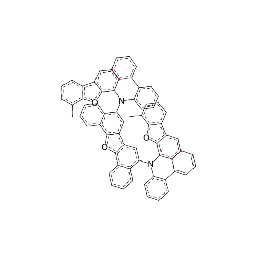 Cc1cccc2c1oc1c(N(c3ccccc3C3=CC=CCC3)c3cc4c5cc(N(c6ccccc6-c6ccccc6)c6cccc7c6oc6c(C)cccc67)c6ccccc6c5oc4c4ccccc34)cccc12